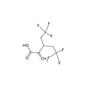 C=C(C(=O)O)C(CC(F)(F)F)CC(F)(F)F